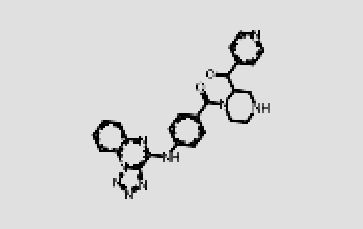 O=C(c1ccncc1)C1CNCCN1C(=O)c1ccc(Nc2nc3ccccc3n3nnnc23)cc1